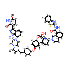 Cc1c(O[C@H]2CC[C@H](CCC[C@H](C)N3CCN(c4cccc5c(C6CCC(=O)NC6=O)nn(C)c45)CC3)CC2)cccc1-c1ccc(N2CCc3cccc(C(=O)Nc4nc5ccccc5s4)c3C2)nc1C(=O)O